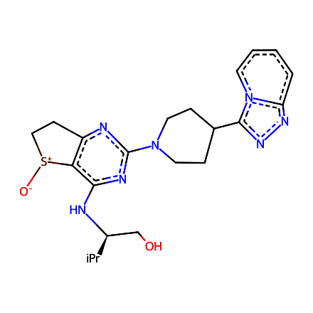 CC(C)[C@H](CO)Nc1nc(N2CCC(c3nnc4ccccn34)CC2)nc2c1[S+]([O-])CC2